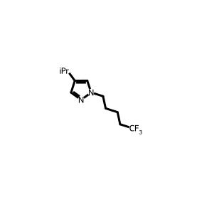 CC(C)c1cnn(CCCCC(F)(F)F)c1